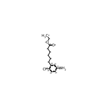 CCOC(=O)CCCCCc1cc(N)ccc1Cl